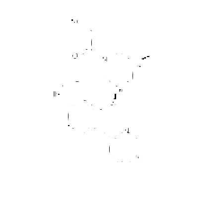 Cc1cc(-c2cnc3[nH]ccc3c2N[C@@H]2C[C@H](C)CN(C(=O)CC#N)C2)ncn1